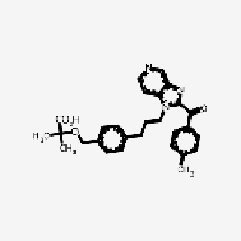 Cc1ccc(C(=O)c2nc3cnccc3n2CCCc2ccc(COC(C)(C)C(=O)O)cc2)cc1